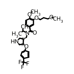 COCCCOc1cc(C(=O)N(C[C@@H]2CNC[C@@H]2Oc2ccc(C(F)(F)F)cc2)C(C)C)ccc1OC